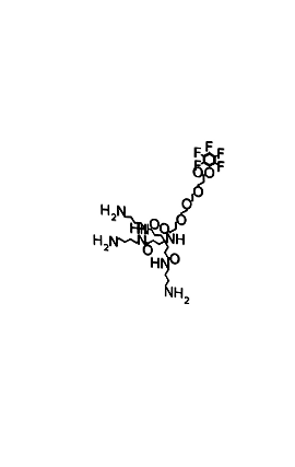 NCCCCNC(=O)CCC(CCC(=O)NCCCCN)(CCC(=O)NCCCCN)NC(=O)CCOCCOCCOCCC(=O)Oc1c(F)c(F)c(F)c(F)c1F